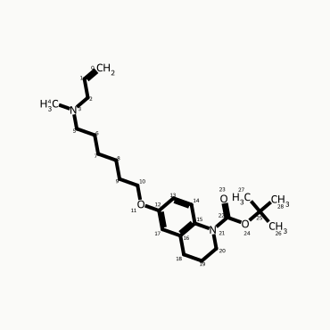 C=CCN(C)CCCCCCOc1ccc2c(c1)CCCN2C(=O)OC(C)(C)C